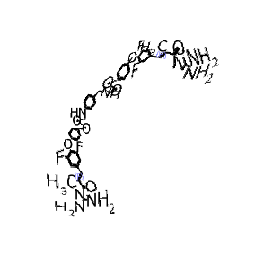 C/C(=C\c1cc(F)c(Oc2ccc(S(=O)(=O)CNc3ccc(CNS(=O)(=O)c4ccc(Oc5c(F)cc(/C=C(\C)C(=O)N=C(N)N)cc5F)cc4)cc3)cc2)c(F)c1)C(=O)N=C(N)N